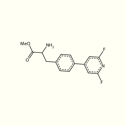 COC(=O)C(N)Cc1ccc(-c2cc(F)nc(F)c2)cc1